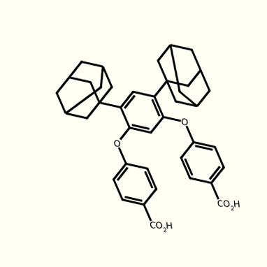 O=C(O)c1ccc(Oc2cc(Oc3ccc(C(=O)O)cc3)c(C34CC5CC(CC(C5)C3)C4)cc2C23CC4CC(CC(C4)C2)C3)cc1